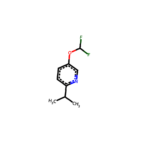 CC(C)c1ccc(OC(F)F)cn1